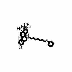 C[C@]12CCC(=O)C=C1C[C@@H](CCCCCCCCSc1ccccc1)[C@@H]1[C@@H]2CC[C@@]2(C)[C@H]1CC[C@@]2(O)C(F)(F)C(F)(F)F